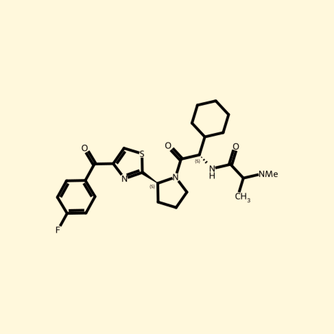 CNC(C)C(=O)N[C@H](C(=O)N1CCC[C@H]1c1nc(C(=O)c2ccc(F)cc2)cs1)C1CCCCC1